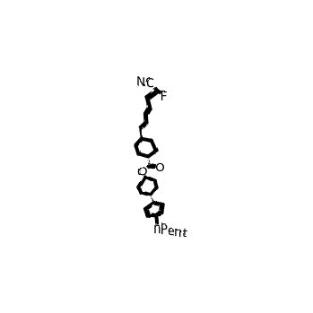 CCCCCc1ccc([C@H]2CC[C@H](OC(=O)[C@H]3CC[C@H](CCC=CC=C(F)C#N)CC3)CC2)cc1